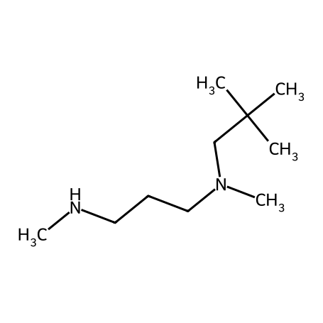 CNCCCN(C)CC(C)(C)C